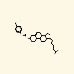 CC(C)CCC[C@@H](C)[C@H]1CCC2C3CC=C4CC(OC(=O)Nc5ccc(CO)cc5)CC[C@]4(C)C3CC[C@@]21C